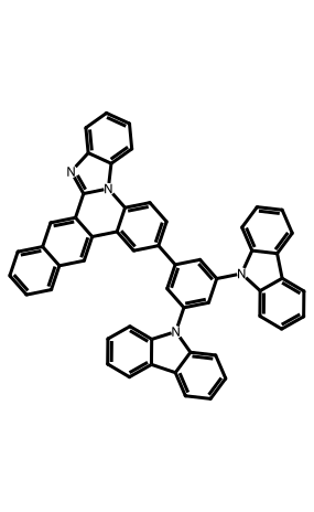 c1ccc2cc3c(cc2c1)c1cc(-c2cc(-n4c5ccccc5c5ccccc54)cc(-n4c5ccccc5c5ccccc54)c2)ccc1n1c2ccccc2nc31